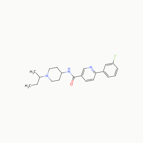 CCC(C)N1CCC(NC(=O)c2ccc(-c3cccc(F)c3)nc2)CC1